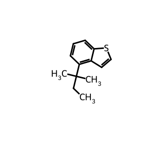 CCC(C)(C)c1cccc2sccc12